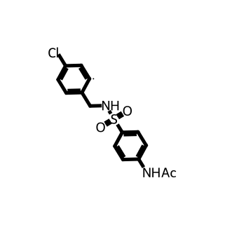 CC(=O)Nc1ccc(S(=O)(=O)NCc2[c]cc(Cl)cc2)cc1